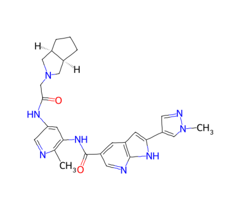 Cc1ncc(NC(=O)CN2C[C@H]3CCC[C@H]3C2)cc1NC(=O)c1cnc2[nH]c(-c3cnn(C)c3)cc2c1